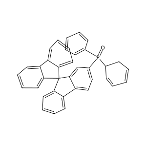 O=P(c1ccccc1)(c1ccc2c(c1)C1(c3ccccc3-c3ccccc31)c1ccccc1-2)C1C=CC=CC1